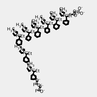 CCC(c1ccccc1)[n+]1ccn(C)c1.CCC(c1ccccc1)[n+]1ccn(C)c1.CCC(c1ccccc1)[n+]1ccn(C)c1.CCC(c1ccccc1)[n+]1ccn(C)c1.CCC(c1ccccc1)[n+]1ccn(C)c1.CCC(c1ccccc1)[n+]1ccn(C)c1.CCC(c1ccccc1)[n+]1ccn(C)c1.CCC(c1ccccc1)[n+]1ccn(C)c1.[O-]B([O-])F.[O-]B([O-])F.[O-]B([O-])F.[O-]B([O-])F